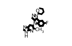 Cc1nc2[nH]cnc2cc1-n1c2ccc(F)cc2c2c1cnn2C1CCCCO1